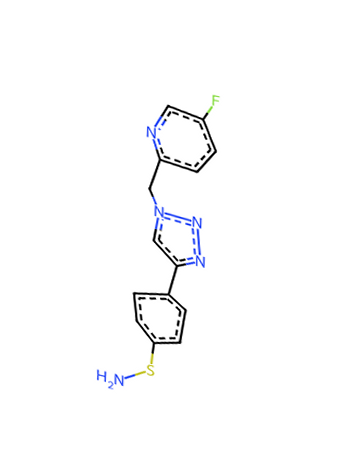 NSc1ccc(-c2cn(Cc3ccc(F)cn3)nn2)cc1